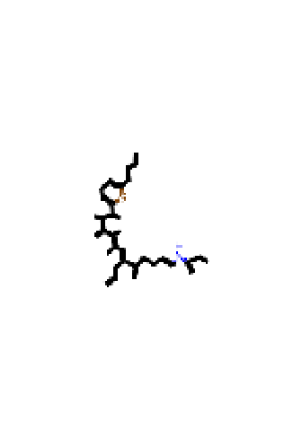 C=CC/C(=C\C(C)=C(/C)C(=C)C(C)C(C)C1=CCC=C(CCCC)S1)C(C)CC/C=C/NC(=C)CC